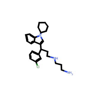 NCCCNCCC(c1cccc(Cl)c1)c1cn(C2CCCCC2)c2ccccc12